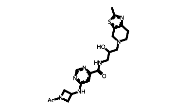 CC(=O)N1CC(Nc2cc(C(=O)NCC(O)CN3CCc4nc(C)sc4C3)ncn2)C1